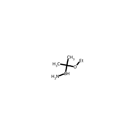 CCOC(C)(C)BN